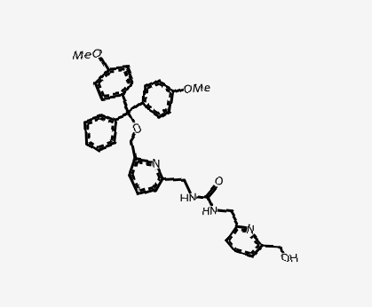 COc1ccc(C(OCc2cccc(CNC(=O)NCc3cccc(CO)n3)n2)(c2ccccc2)c2ccc(OC)cc2)cc1